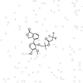 COc1ccc(-c2cccc3c2COC3=O)c(OCC(C)(C)OC(=O)CC(F)(F)F)c1OC